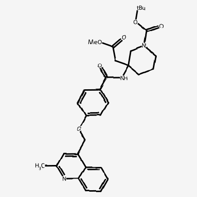 COC(=O)CC1(NC(=O)c2ccc(OCc3cc(C)nc4ccccc34)cc2)CCCN(C(=O)OC(C)(C)C)C1